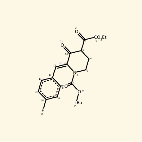 CCOC(=O)C(=O)C1CCN(C(=O)OC(C)(C)C)/C(=C\c2ccc(F)cc2)C1=O